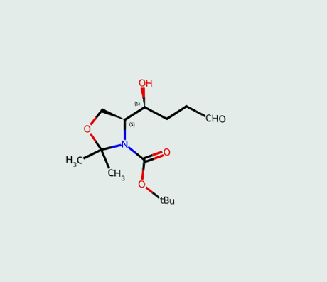 CC(C)(C)OC(=O)N1[C@H]([C@@H](O)CCC=O)COC1(C)C